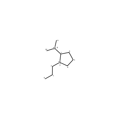 CCCN1CCCC1N(C)C